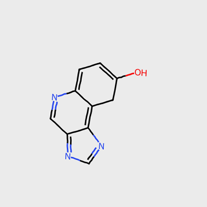 OC1=CC=c2ncc3c(c2C1)N=CN=3